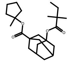 CCC(C)(C)C(=O)OC12CC3CC(C1)CC(C(=O)OC1(C)CCCC1)(C3)C2